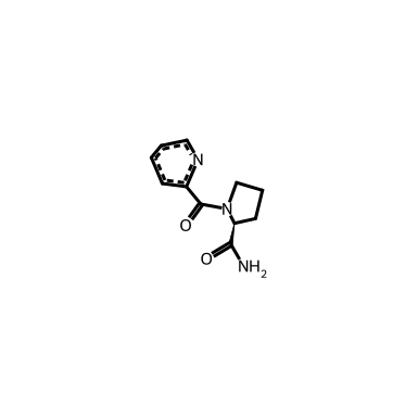 NC(=O)[C@@H]1CCCN1C(=O)c1ccccn1